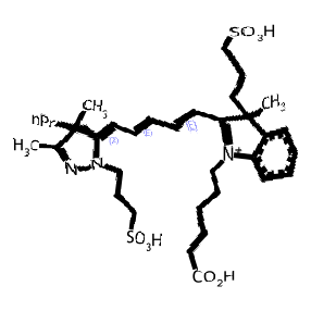 CCCC1(C)C(C)=NN(CCCS(=O)(=O)O)\C1=C/C=C/C=C/C1=[N+](CCCCCC(=O)O)c2ccccc2C1(C)CCCS(=O)(=O)O